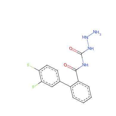 NNNC(=O)NC(=O)c1ccccc1-c1ccc(F)c(F)c1